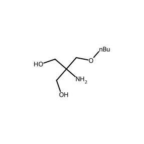 CCCCOCC(N)(CO)CO